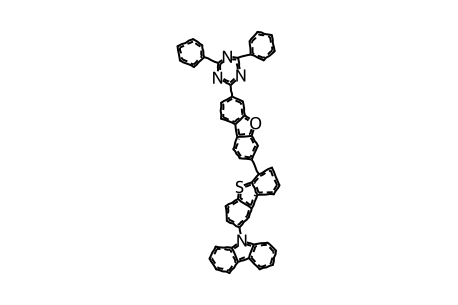 c1ccc(-c2nc(-c3ccccc3)nc(-c3ccc4c(c3)oc3cc(-c5cccc6c5sc5ccc(-n7c8ccccc8c8ccccc87)cc56)ccc34)n2)cc1